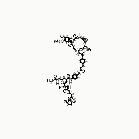 COc1ccc(C[C@H]2NC(=O)/C=C/C[C@@H]([C@H](C)[C@H]3O[C@@H]3c3ccc(CCC(=O)OCc4ccc(NC(=O)[C@H](CCCNC(N)=O)CC(=O)[C@@H](NC(=O)CCCC(=O)ON5C(=O)CCC5=O)C(C)C)cc4)cc3)OC(=O)[C@H](CC(C)C)OC(=O)C(C)(C)CNC2=O)cc1Cl